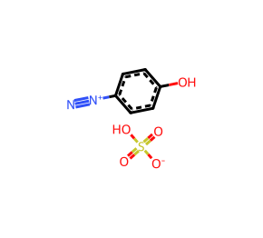 N#[N+]c1ccc(O)cc1.O=S(=O)([O-])O